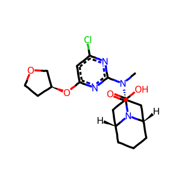 CN(c1nc(Cl)cc(O[C@H]2CCOC2)n1)[C@H]1C[C@H]2CCC[C@@H](C1)N2C(=O)O